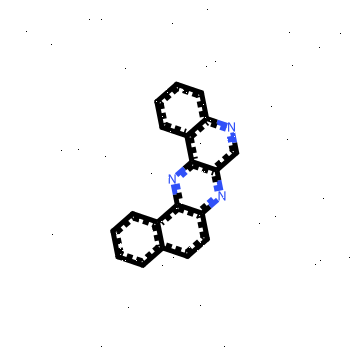 c1ccc2c(c1)ccc1nc3cnc4ccccc4c3nc12